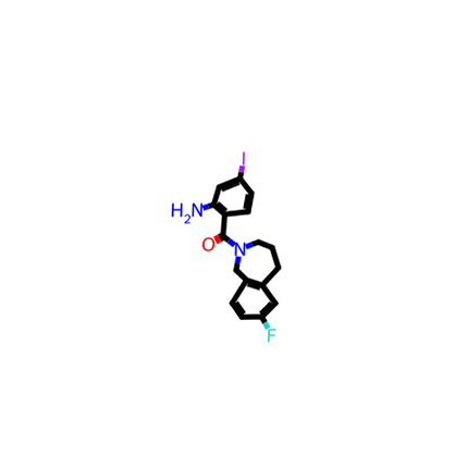 Nc1cc(I)ccc1C(=O)N1CCCc2cc(F)ccc2C1